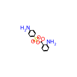 Nc1ccc(S(=O)(=O)OC(=O)c2ccccc2N)cc1